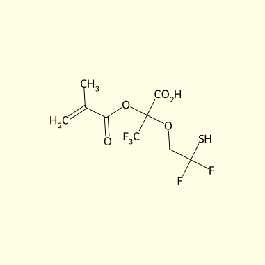 C=C(C)C(=O)OC(OCC(F)(F)S)(C(=O)O)C(F)(F)F